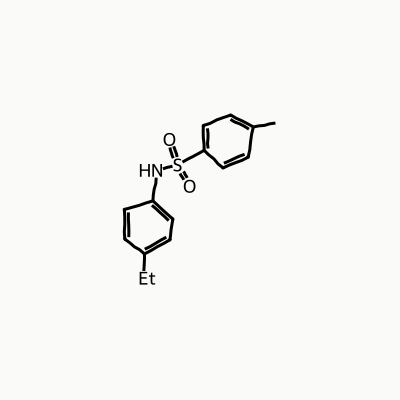 CCc1ccc(NS(=O)(=O)c2ccc(C)cc2)cc1